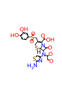 Nc1nc(N(C(=O)C=O)[C@@H]2C(=O)N3C(C(=O)O)=C(CS(=O)(=O)c4ccc(O)c(O)c4)CS[C@H]23)cs1